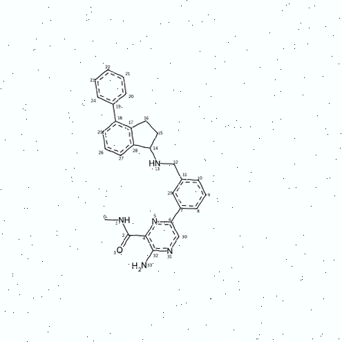 CNC(=O)c1nc(-c2cccc(CNC3CCc4c(-c5ccccc5)cccc43)c2)cnc1N